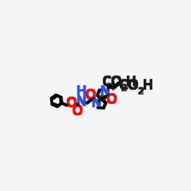 O=C(O)CC[C@@H](C(=O)O)N1CC[C@]2(CCCN2C(=O)CNC(=O)OCc2ccccc2)C1=O